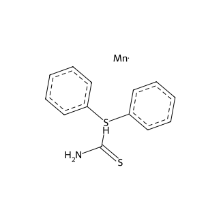 NC(=S)[SH](c1ccccc1)c1ccccc1.[Mn]